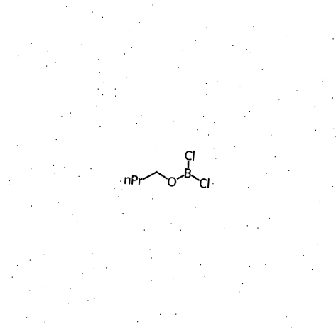 CCCCOB(Cl)Cl